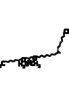 CCCCCCCCOCC(COCCCCCCCCC1CC1CCCCCCCC)N(C)C